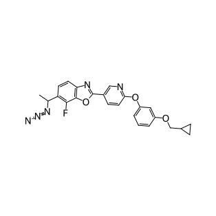 CC(N=[N+]=[N-])c1ccc2nc(-c3ccc(Oc4cccc(OCC5CC5)c4)nc3)oc2c1F